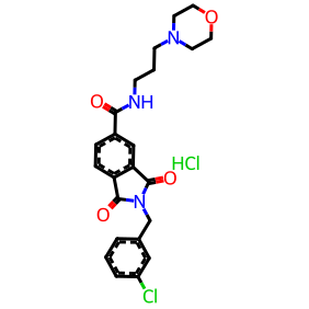 Cl.O=C(NCCCN1CCOCC1)c1ccc2c(c1)C(=O)N(Cc1cccc(Cl)c1)C2=O